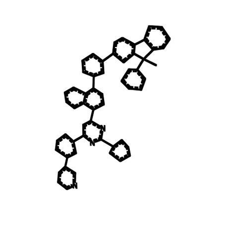 CC1(c2ccccc2)c2ccccc2-c2ccc(-c3cccc(-c4ccc(-c5cc(-c6cccc(-c7cccnc7)c6)nc(-c6ccccc6)n5)c5ccccc45)c3)cc21